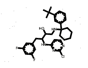 CC(C)(C)c1cccc(C2(NCC(O)C(Cc3cc(F)cc(F)c3)Nc3ccnc(Cl)n3)CCCCC2)c1